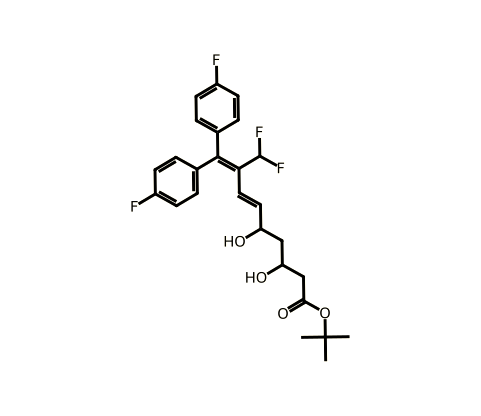 CC(C)(C)OC(=O)CC(O)CC(O)/C=C/C(=C(c1ccc(F)cc1)c1ccc(F)cc1)C(F)F